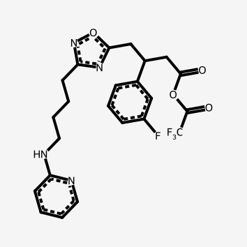 O=C(CC(Cc1nc(CCCCNc2ccccn2)no1)c1cccc(F)c1)OC(=O)C(F)(F)F